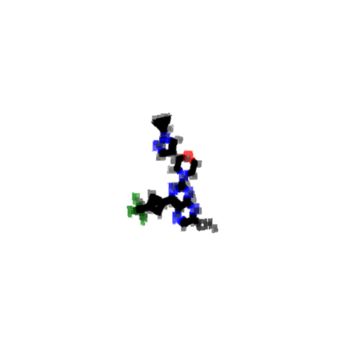 Cc1cnc2c(C34CC(C(F)(F)F)(C3)C4)nc(N3CCO[C@@H](c4cnn(C5CC5)c4)C3)nc2n1